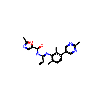 C=C/C(=N\c1c(C)ccc(-c2cnc(C)nc2)c1C)NC(=O)c1cnc(C)o1